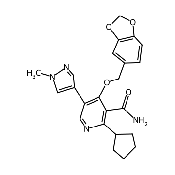 Cn1cc(-c2cnc(C3CCCC3)c(C(N)=O)c2OCc2ccc3c(c2)OCO3)cn1